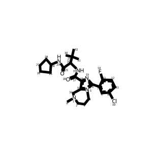 CN1CCCn2c(-c3cc(Cl)ccc3F)nc(C(=O)NC(C(=O)NC3CCCC3)C(C)(C)C)c2C1